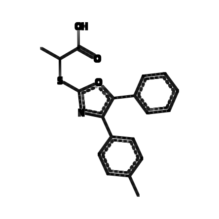 Cc1ccc(-c2nc(SC(C)C(=O)O)oc2-c2ccccc2)cc1